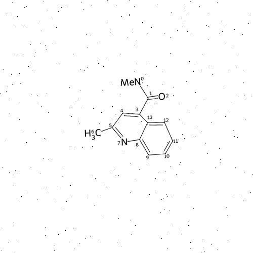 CNC(=O)c1cc(C)nc2ccccc12